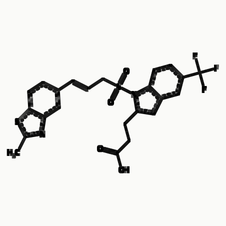 Cc1nc2cc(C=CCS(=O)(=O)n3c(CCC(=O)O)cc4cc(C(F)(F)F)ccc43)ccc2s1